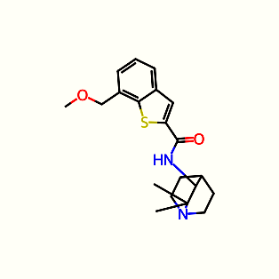 COCc1cccc2cc(C(=O)NC3C4CCN(CC4)C3(C)C)sc12